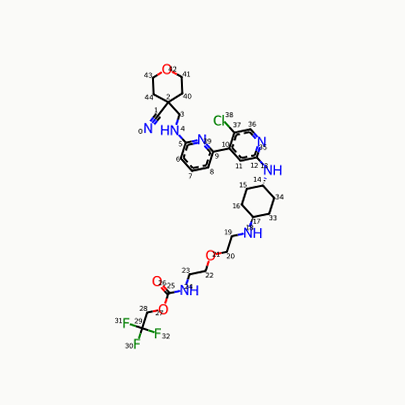 N#CC1(CNc2cccc(-c3cc(N[C@H]4CC[C@H](NCCOCCNC(=O)OCC(F)(F)F)CC4)ncc3Cl)n2)CCOCC1